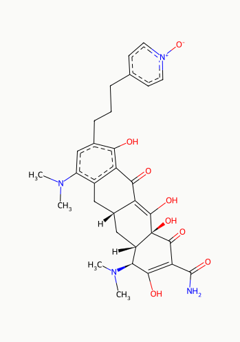 CN(C)c1cc(CCCc2cc[n+]([O-])cc2)c(O)c2c1C[C@H]1C[C@H]3[C@H](N(C)C)C(O)=C(C(N)=O)C(=O)[C@@]3(O)C(O)=C1C2=O